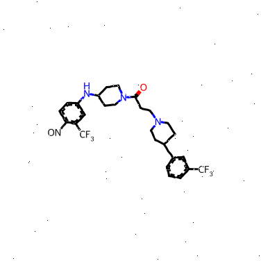 O=Nc1ccc(NC2CCN(C(=O)CCN3CCC(c4cccc(C(F)(F)F)c4)CC3)CC2)cc1C(F)(F)F